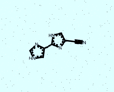 N#Cc1c[nH]c(-c2c[nH]cn2)n1